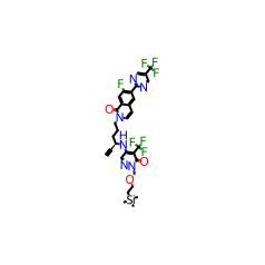 C#C[C@@H](CCCn1ccc2cc(-c3ncc(C(F)(F)F)cn3)c(F)cc2c1=O)Nc1cnn(COCC[Si](C)(C)C)c(=O)c1C(F)(F)F